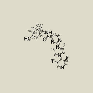 C[C@@H]1CN(c2c(F)cncc2F)CCN1c1nccc(C(=O)NC2C3CC4CC2CC(O)(C4)C3)n1